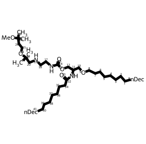 CCCCCCCCCCCCCCCCCCOCC(COC(=O)NCCNCC(C)(C)OCCC(C)(C)OC)NC(=O)CCCCCCCCCCCCCCCCC